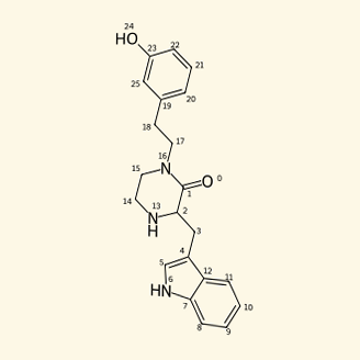 O=C1C(Cc2c[nH]c3ccccc23)NCCN1CCc1cccc(O)c1